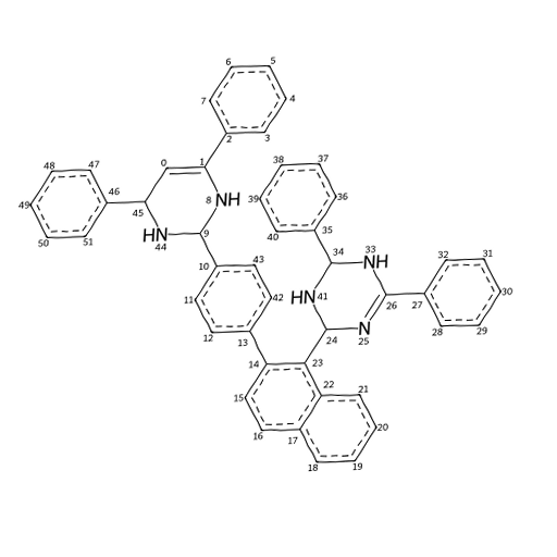 C1=C(c2ccccc2)NC(c2ccc(-c3ccc4ccccc4c3C3N=C(c4ccccc4)NC(c4ccccc4)N3)cc2)NC1c1ccccc1